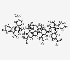 CC(C)c1ccc(N(c2ccc3c4c(cc(C(C)C)c3c2)-c2cc(C(C)C)c3cc(N(c5ccc(C(C)C)cc5)c5cccc6c5oc5ccccc56)ccc3c2C42c3ccccc3-c3ccccc32)c2cccc3c2oc2ccccc23)cc1